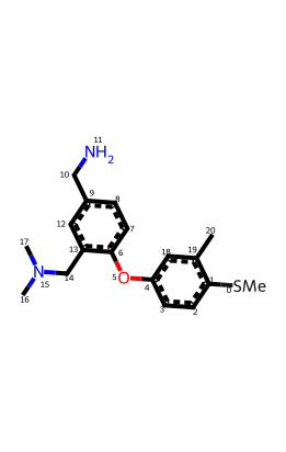 CSc1ccc(Oc2ccc(CN)cc2CN(C)C)cc1C